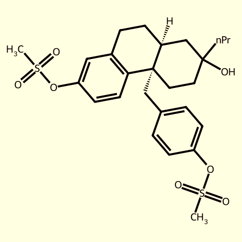 CCCC1(O)CC[C@@]2(Cc3ccc(OS(C)(=O)=O)cc3)c3ccc(OS(C)(=O)=O)cc3CC[C@H]2C1